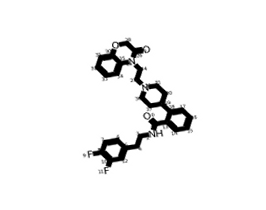 O=C(NCCc1ccc(F)c(F)c1)c1ccccc1C1CCN(CCN2C(=O)COc3ccccc32)CC1